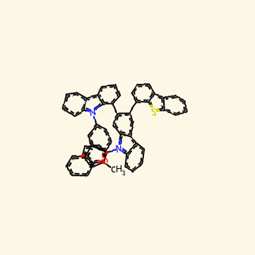 Cc1ccccc1-n1c2ccccc2c2cc(-c3cccc4c3sc3ccccc34)c(-c3cccc4c5ccccc5n(-c5ccc6oc7ccccc7c6c5)c34)cc21